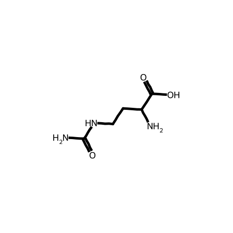 NC(=O)NCCC(N)C(=O)O